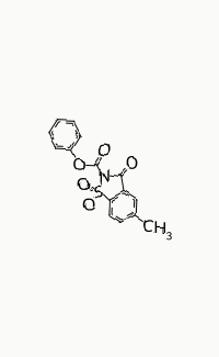 Cc1ccc2c(c1)C(=O)N(C(=O)Oc1ccccc1)S2(=O)=O